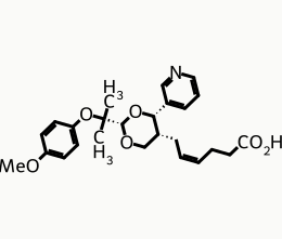 COc1ccc(OC(C)(C)[C@H]2OC[C@@H](C/C=C\CCC(=O)O)[C@@H](c3cccnc3)O2)cc1